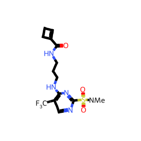 CNS(=O)(=O)c1ncc(C(F)(F)F)c(NCCCNC(=O)C2=CCC2)n1